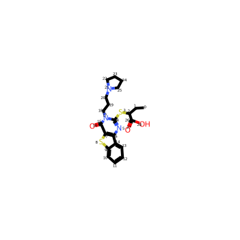 CCC(Sc1nc2c(sc3ccccc32)c(=O)n1CCCN1CCCC1)C(=O)O